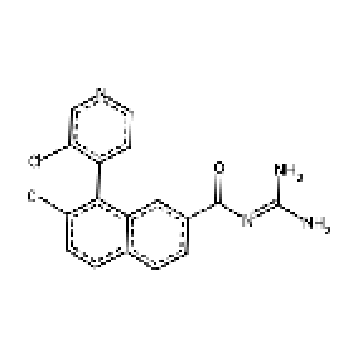 NC(N)=NC(=O)c1ccc2ccc(Cl)c(-c3ccncc3Cl)c2c1